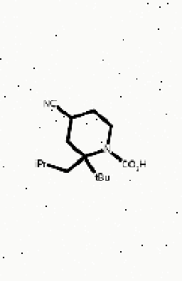 CC(C)CC1(C(C)(C)C)CC(C#N)CCN1C(=O)O